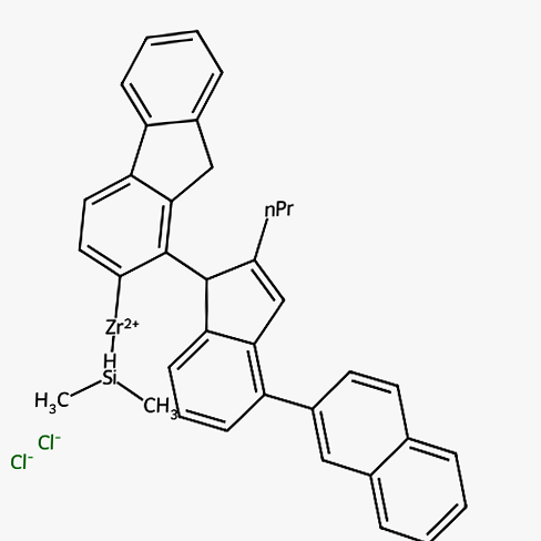 CCCC1=Cc2c(-c3ccc4ccccc4c3)cccc2C1c1[c]([Zr+2][SiH](C)C)ccc2c1Cc1ccccc1-2.[Cl-].[Cl-]